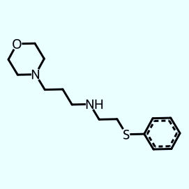 c1ccc(SCCNCCCN2CCOCC2)cc1